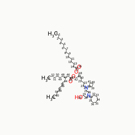 CCCCCCCCCCCCCCCC(=O)OCC(CCCCN(CCN(CCO)C1CCCCCC1)C1CCC1)COC(=O)CC(CCCCCC)CCCCCCCC